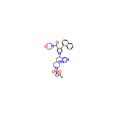 CS(=O)(=O)N1CCC(CC(c2cnc[nH]2)n2cc(C(=O)N3CCOCC3)c(-c3cccc4ccccc34)c2)CC1